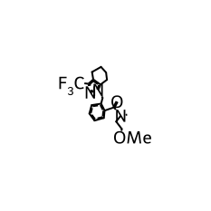 COCCN(C)C(=O)c1ccccc1Cn1nc(C(F)(F)F)c2c1CCCC2